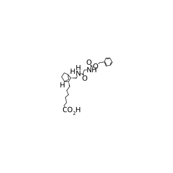 O=C(O)CCCCCC[C@H]1[C@H]2CC[C@H](C2)[C@H]1CNC(=O)CNC(=O)OCc1ccccc1